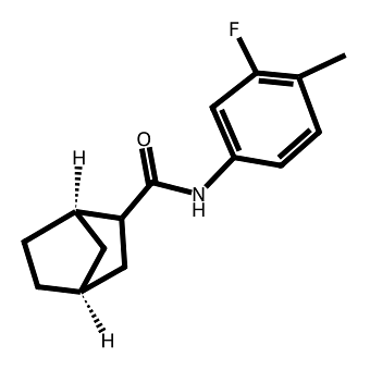 Cc1ccc(NC(=O)C2C[C@H]3CC[C@@H]2C3)cc1F